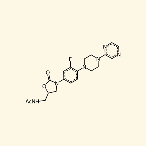 CC(=O)NCC1CN(c2ccc(N3CCN(c4cnccn4)CC3)c(F)c2)C(=O)O1